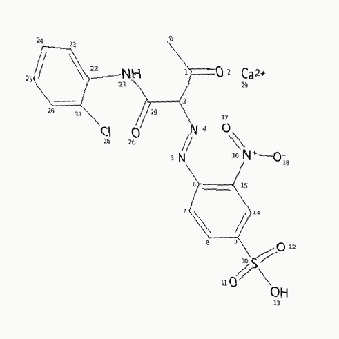 CC(=O)C(N=Nc1ccc(S(=O)(=O)O)cc1[N+](=O)[O-])C(=O)Nc1ccccc1Cl.[Ca+2]